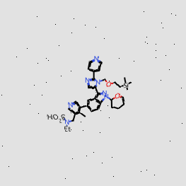 CCN(Cc1cncc(-c2ccc3c(c2)c(-c2cnc(-c4ccncc4)n2COCC[Si](C)(C)C)nn3C2CCCCO2)c1C)C(=O)O